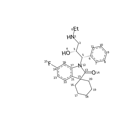 CCNC[C@@H](O)[C@H](c1ccccc1)N1C(=O)C2(CCCCC2)c2ccc(F)cc21